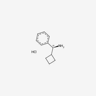 Cl.N[C@H](c1ccccc1)C1CCC1